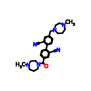 CN1CCCN(Cc2ccc(-c3ccc(C(=O)N4CCCN(C)CC4)cc3C#N)c(C#N)c2)CC1